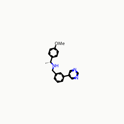 COc1ccc([C@@H](C)NCc2cccc(-c3cncnc3)c2)cc1